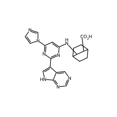 O=C(O)C1C2CCC(CC2)C1Nc1cc(-n2ccnc2)nc(-c2c[nH]c3ncncc23)n1